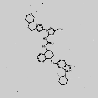 C[C@@H]1CCC[C@H](C)N1c1nnc2ccc(O[C@@H]3CC[C@H](NC(=O)Nc4cc(C(C)(C)C)nn4-c4cnn(CCN5CCOCC5)c4)c4ccccc43)cn12